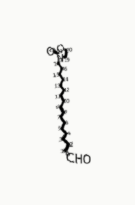 O=CCCCCCCCC=CCCCCCCCCN1CCOC1=O